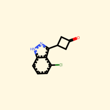 O=C1CC(c2n[nH]c3cccc(Cl)c23)C1